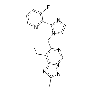 CCc1c(Cn2ccnc2-c2ncccc2F)ncn2nc(C)nc12